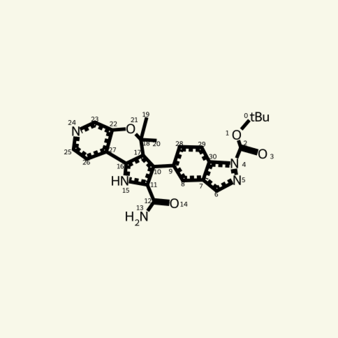 CC(C)(C)OC(=O)n1ncc2cc(-c3c(C(N)=O)[nH]c4c3C(C)(C)Oc3cnccc3-4)ccc21